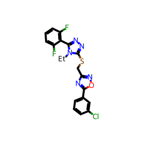 CCn1c(SCc2noc(-c3cccc(Cl)c3)n2)nnc1-c1c(F)cccc1F